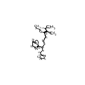 CCCO/C(CCCC(CCC1=NCCO1)C1=NCCO1)=C(/C)CC